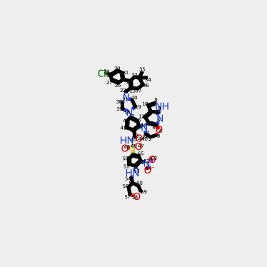 C[C@H]1CCOc2nc3[nH]ccc3cc2N1c1cc(N2CCN(CC3=C(c4ccc(Cl)cc4)CC(C)(C)CC3)CC2)ccc1C(=O)NS(=O)(=O)c1ccc(NCC2CCOCC2)c([N+](=O)[O-])c1